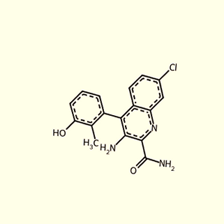 Cc1c(O)cccc1-c1c(N)c(C(N)=O)nc2cc(Cl)ccc12